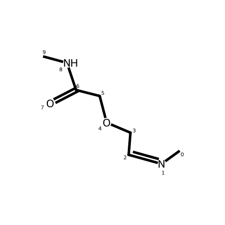 C/N=C\COCC(=O)NC